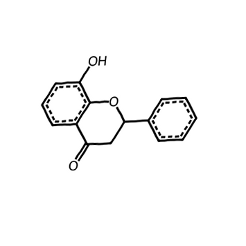 O=C1CC(c2ccccc2)Oc2c(O)cccc21